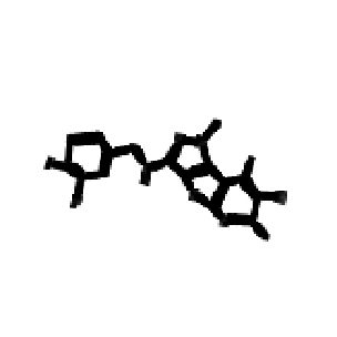 Cc1nc2sc3c(NCc4ccc(F)c(F)c4)nn(C)c3c2c(C)c1Cl